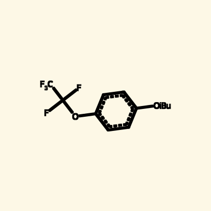 CC(C)COc1ccc(OC(F)(F)C(F)(F)F)cc1